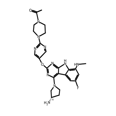 CNc1cc(F)cc2c1[nH]c1nc(Oc3cnc(N4CCN(C(C)=O)CC4)nc3)nc(N3CC[C@H](N)C3)c12